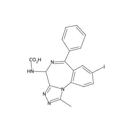 Cc1nnc2n1-c1ccc(I)cc1C(c1ccccc1)=NC2NC(=O)O